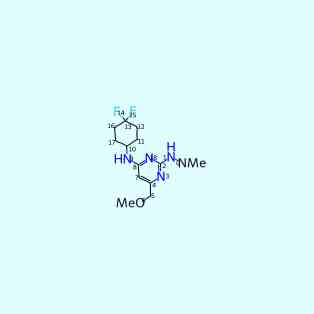 CNNc1nc(COC)cc(NC2CCC(F)(F)CC2)n1